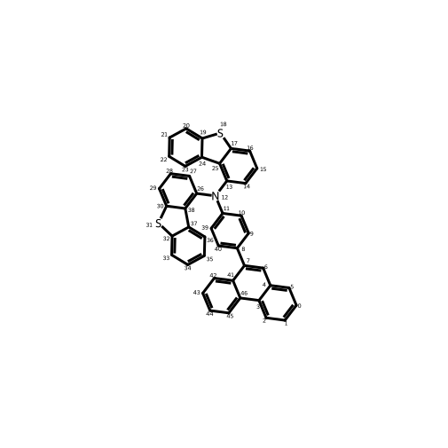 c1ccc2c(c1)cc(-c1ccc(N(c3cccc4sc5ccccc5c34)c3cccc4sc5ccccc5c34)cc1)c1ccccc12